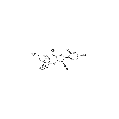 CCCC(C)(C)[Si](CC)(CC)O[C@H]1[C@H](C#N)[C@H](n2ccc(N)nc2=O)O[C@@H]1CO